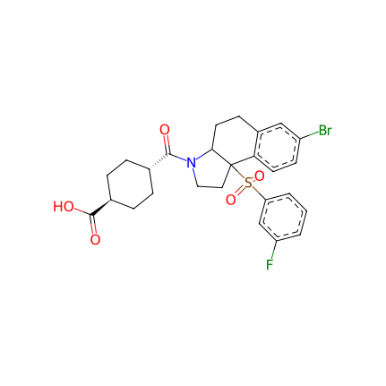 O=C(O)[C@H]1CC[C@H](C(=O)N2CCC3(S(=O)(=O)c4cccc(F)c4)c4ccc(Br)cc4CCC23)CC1